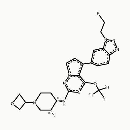 [2H]C([2H])([2H])Oc1nc(N[C@@H]2CCN(C3COC3)C[C@H]2F)nn2ccc(-c3ccc4nnn(CCF)c4c3)c12